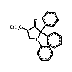 C=C1C(C(=O)OCC)CP(c2ccccc2)C1(c1ccccc1)c1ccccc1